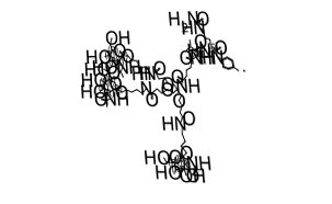 [CH2]c1ccc(NC(=O)[C@H](CCCNC(N)=O)NC(=O)[C@@H](NC(=O)CCCC(=O)NC(COCCC(=O)NCCCCO[C@@H]2O[C@H](CO)[C@H](O)[C@H](O)[C@H]2NC(C)=O)(COCCC(=O)NCCCCO[C@@H]2O[C@H](CO)[C@H](O)[C@H](O)[C@H]2NC(C)=O)COCCC(=O)NCCCCO[C@@H]2O[C@H](CO)[C@H](O)[C@H](O)[C@H]2NC(C)=O)C(C)C)cc1